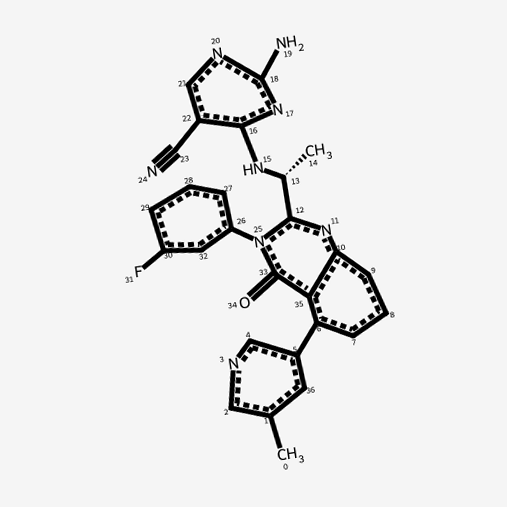 Cc1cncc(-c2cccc3nc([C@@H](C)Nc4nc(N)ncc4C#N)n(-c4cccc(F)c4)c(=O)c23)c1